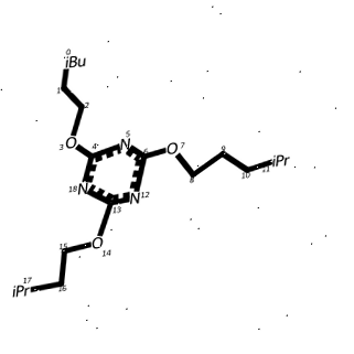 CCC(C)CCOc1nc(OCCCC(C)C)nc(OCCC(C)C)n1